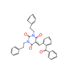 O=C(c1ccccc1)c1ccccc1C=C1C(=O)N(CCc2ccccc2)C(=O)N(CCc2ccccc2)C1=O